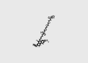 CCCNC(=O)CCOCCOCCOCCNC(=O)CCCCC[n+]1c(C)c2cc(N=[N+]=[N-])ccc2c2ccc(N)cc21